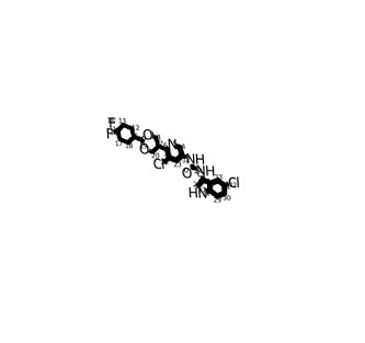 O=C(Nc1cnc(C2COC(C3CCC(F)(F)CC3)OC2)c(Cl)c1)Nc1c[nH]c2ccc(Cl)cc12